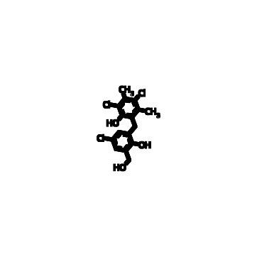 Cc1c(Cl)c(C)c(Cc2cc(Cl)cc(CO)c2O)c(O)c1Cl